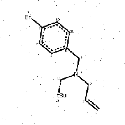 C=CCN(Cc1ccc(Br)cc1)CC(C)(C)C